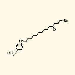 CCOC(=O)c1ccc(NCCCCCCCCCCC(=O)CCCC(C)(C)C)cc1